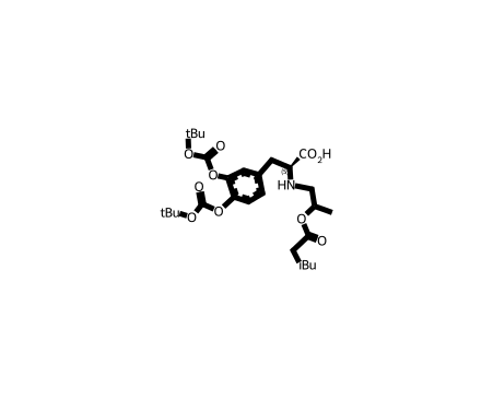 CCC(C)CC(=O)OC(C)CN[C@@H](Cc1ccc(OC(=O)OC(C)(C)C)c(OC(=O)OC(C)(C)C)c1)C(=O)O